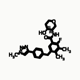 Cc1c(Cc2ccc(-c3cn(C)nn3)cc2)cc(C(=O)N[C@H]2COCC[C@@H]2O)c(F)c1C